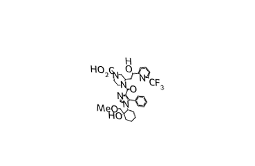 COC[C@]1(O)CCCC[C@H]1n1cnc(C(=O)N2CCN(C(=O)O)C[C@H]2C[C@H](O)c2cccc(C(F)(F)F)n2)c1-c1ccccc1